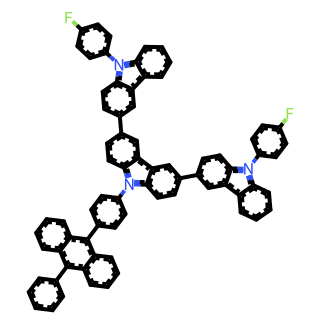 Fc1ccc(-n2c3ccccc3c3cc(-c4ccc5c(c4)c4cc(-c6ccc7c(c6)c6ccccc6n7-c6ccc(F)cc6)ccc4n5-c4ccc(-c5c6ccccc6c(-c6ccccc6)c6ccccc56)cc4)ccc32)cc1